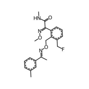 CNC(=O)/C(=N/OC)c1cccc(CF)c1CO/N=C(\C)c1cccc(C)c1